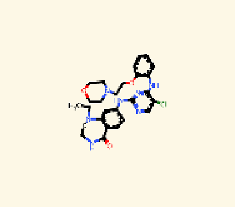 CCN1CCNC(=O)c2ccc(Nc3ncc(Cl)c(Nc4ccccc4OCCN4CCOCC4)n3)cc21